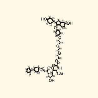 Cc1ncsc1-c1ccc(CNC(=O)[C@@H]2C[C@@H](O)CN2C(=O)[C@@H](NC(=O)COCCOCCOCCOc2ccc(Oc3c(-c4ccc(O)cc4)sc4cc(O)ccc34)cc2)C(C)(C)C)cc1